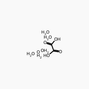 O.O.O.O.O.O=C(O)C(=O)O